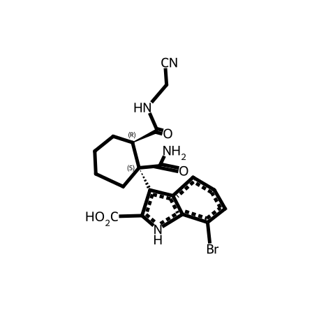 N#CCNC(=O)[C@@H]1CCCC[C@@]1(C(N)=O)c1c(C(=O)O)[nH]c2c(Br)cccc12